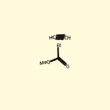 C#C.CCC(=O)OC